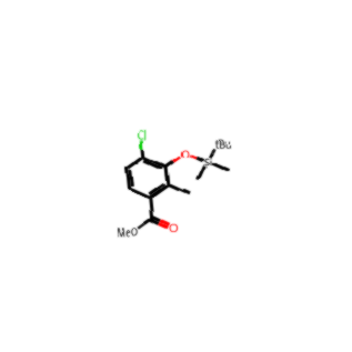 COC(=O)c1ccc(Cl)c(O[Si](C)(C)C(C)(C)C)c1C